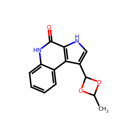 CC1OC(c2c[nH]c3c(=O)[nH]c4ccccc4c23)O1